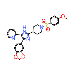 COc1ccc(S(=O)(=O)N2CCC(c3nc(-c4ccc5c(c4)OCO5)c(-c4ccccn4)[nH]3)CC2)cc1